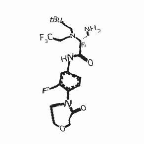 CC(C)(C)CN(CC(F)(F)F)[C@H](CN)C(=O)Nc1ccc(N2CCOCC2=O)c(F)c1